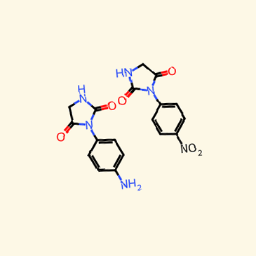 Nc1ccc(N2C(=O)CNC2=O)cc1.O=C1CNC(=O)N1c1ccc([N+](=O)[O-])cc1